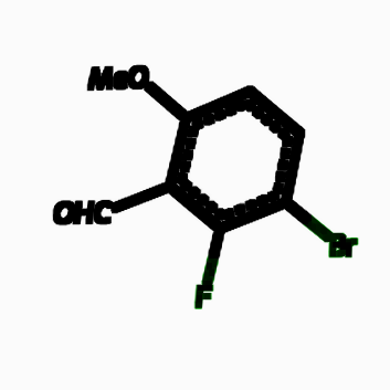 COc1ccc(Br)c(F)c1C=O